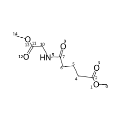 COC(=O)CCCC(=O)NCC(=O)OC